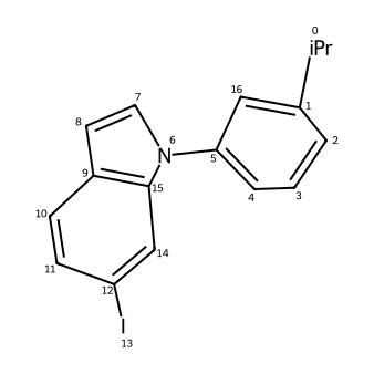 CC(C)c1cccc(-n2ccc3ccc(I)cc32)c1